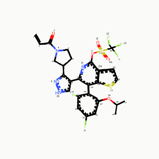 C=CC(=O)N1CCC(c2n[nH]cc2-c2nc(OS(=O)(=O)C(F)(F)F)c3ccsc3c2-c2c(F)cc(F)cc2OC(C)C)C1